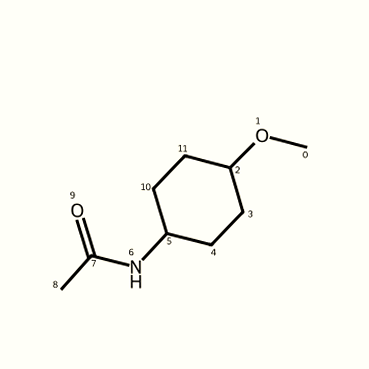 COC1CCC(NC(C)=O)CC1